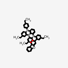 CCc1ccc(N2c3ccc(CC)cc3B3c4cc(CC)ccc4N(c4ccc(CC)cc4-c4ccc5c(c4)oc4ccccc45)c4cccc2c43)cc1